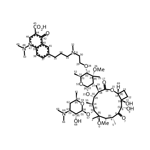 CO[C@]1(C)C[C@@H](C)C(=O)[C@@H](O)[C@@]2(O)CC[C@H]2OC(=O)[C@H](C)[C@@H](O[C@H]2C[C@@](C)(OC)[C@@H](OCCN(C)CCCc3ccc4c(c3)c(=O)c(C(=O)O)cn4N(C)C)[C@H](C)O2)[C@H](C)[C@H]1O[C@@H]1O[C@H](C)C[C@H](N(C)C)[C@H]1O